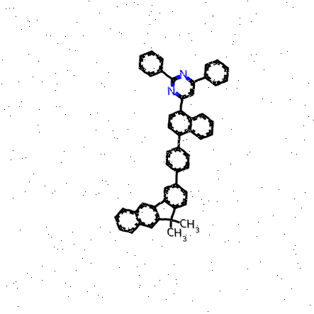 CC1(C)c2ccc(-c3ccc(-c4ccc(-c5cc(-c6ccccc6)nc(-c6ccccc6)n5)c5ccccc45)cc3)cc2-c2cc3ccccc3cc21